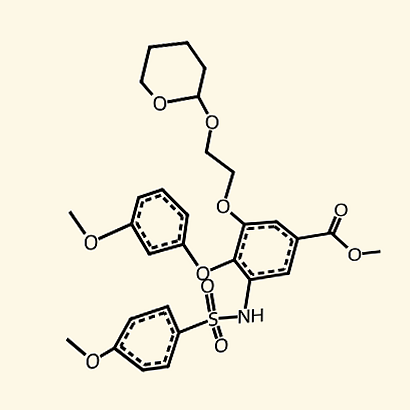 COC(=O)c1cc(NS(=O)(=O)c2ccc(OC)cc2)c(Oc2cccc(OC)c2)c(OCCOC2CCCCO2)c1